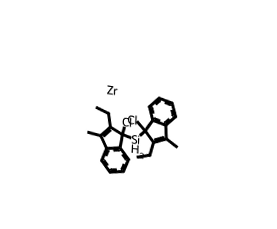 CCC1=C(C)c2ccccc2C1(Cl)[SiH2]C1(Cl)C(CC)=C(C)c2ccccc21.[Zr]